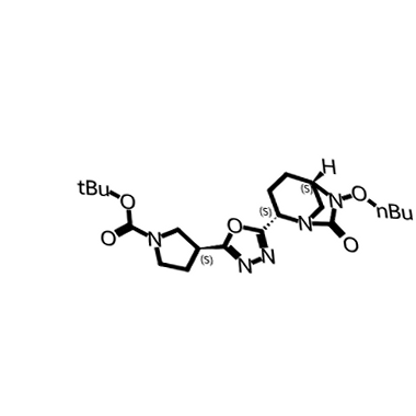 CCCCON1C(=O)N2C[C@@H]1CC[C@H]2c1nnc([C@H]2CCN(C(=O)OC(C)(C)C)C2)o1